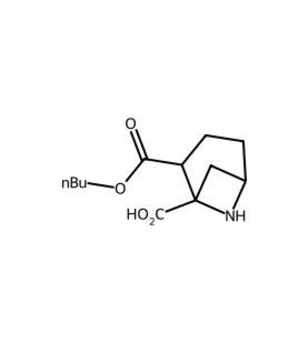 CCCCOC(=O)C1CCC2CC1(C(=O)O)N2